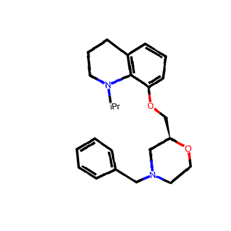 CC(C)N1CCCc2cccc(OC[C@@H]3CN(Cc4ccccc4)CCO3)c21